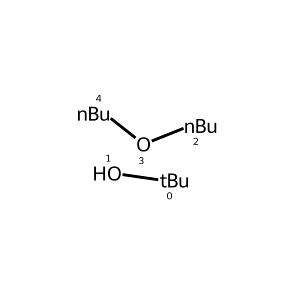 CC(C)(C)O.CCCCOCCCC